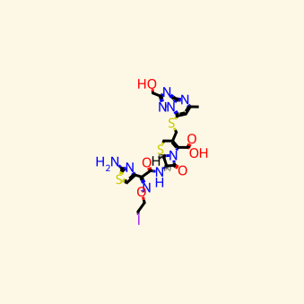 Cc1cc(SCC2=C(C(=O)O)N3C(=O)[C@@H](NC(=O)C(=NOCCI)c4csc(N)n4)[C@H]3SC2)n2nc(CO)nc2n1